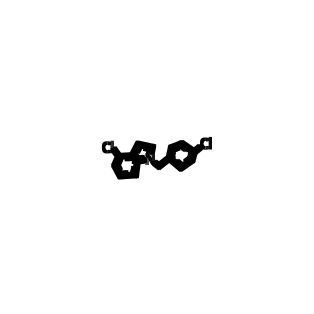 Clc1ccc(Cn2ccc3c(Cl)cccc32)cc1